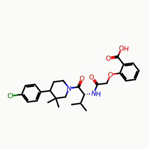 CC(C)[C@@H](NC(=O)COc1ccccc1C(=O)O)C(=O)N1CCC(c2ccc(Cl)cc2)C(C)(C)C1